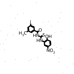 Cc1cc(I)cc(C(=O)NC(=S)Nc2cc([N+](=O)[O-])ccc2O)c1